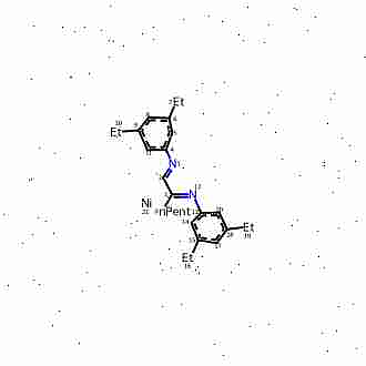 CCCCCC(C=Nc1cc(CC)cc(CC)c1)=Nc1cc(CC)cc(CC)c1.[Ni]